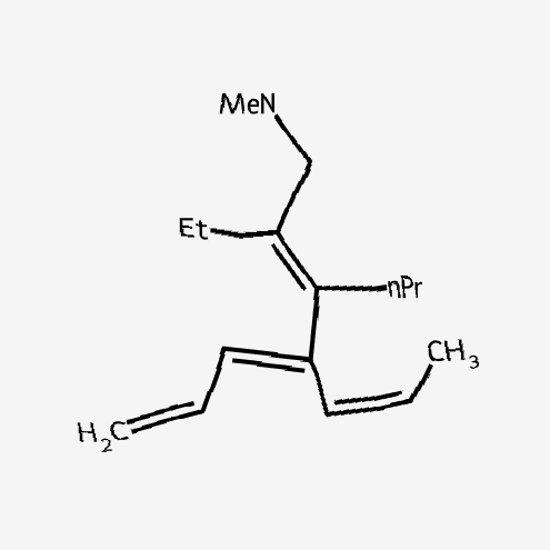 C=C/C=C(\C=C/C)C(/CCC)=C(\CC)CNC